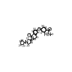 CNC(=O)c1ccc(Oc2ccc3c(c2)CCN([C@@H]2CCN(C4CCCC4)C2)C3=O)cc1